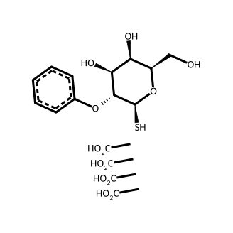 CC(=O)O.CC(=O)O.CC(=O)O.CC(=O)O.OC[C@H]1O[C@@H](S)[C@H](Oc2ccccc2)[C@@H](O)[C@H]1O